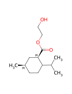 CC(C)C1CC[C@@H](C)C[C@H]1C(=O)OCCO